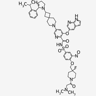 CC(C)c1ccccc1C1CCCN1C1CC2(CCN(c3cnc(C(=O)NS(=O)(=O)c4ccc(OCC5(F)CCN(C(=O)CN(C)C)CC5)c(N=O)c4)c(Oc4cnc5[nH]ccc5c4)c3)CC2)C1